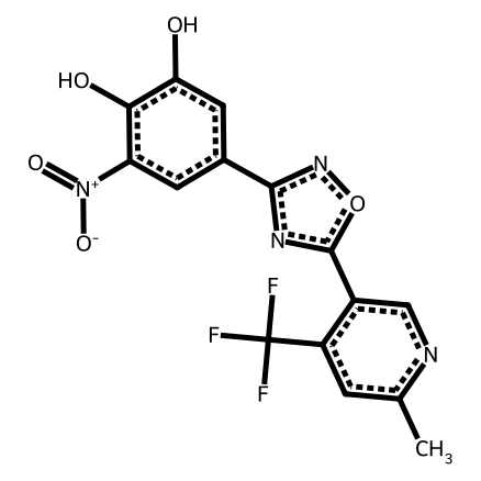 Cc1cc(C(F)(F)F)c(-c2nc(-c3cc(O)c(O)c([N+](=O)[O-])c3)no2)cn1